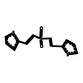 O=S(=O)(C=Cc1cccs1)C=Cc1cccs1